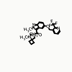 CN(C)C1(CNC(=O)c2c3cc(OCc4cccnc4C(F)(F)F)ccc3nn2C)CCC1